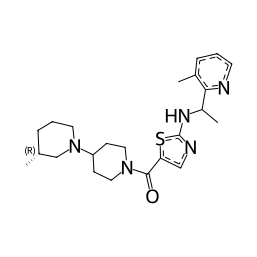 Cc1cccnc1C(C)Nc1ncc(C(=O)N2CCC(N3CCC[C@@H](C)C3)CC2)s1